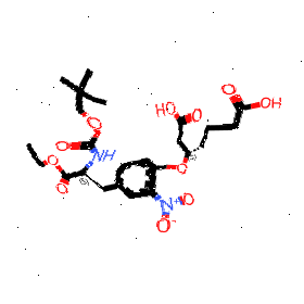 CCOC(=O)[C@H](Cc1ccc(O[C@@H](CCCC(=O)O)CC(=O)O)c([N+](=O)[O-])c1)NC(=O)OCC(C)(C)C